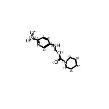 O=C(OCNc1ccc([N+](=O)[O-])nc1)N1CCCCC1